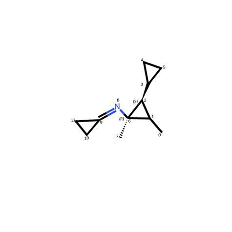 CC1[C@H](C2CC2)[C@]1(C)N=C1CC1